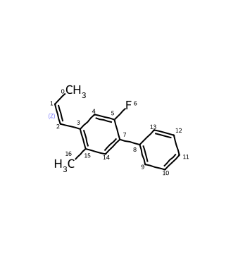 C/C=C\c1cc(F)c(-c2ccccc2)cc1C